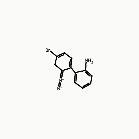 [N-]=[N+]=C1CC(Br)=CC=C1c1ccccc1N